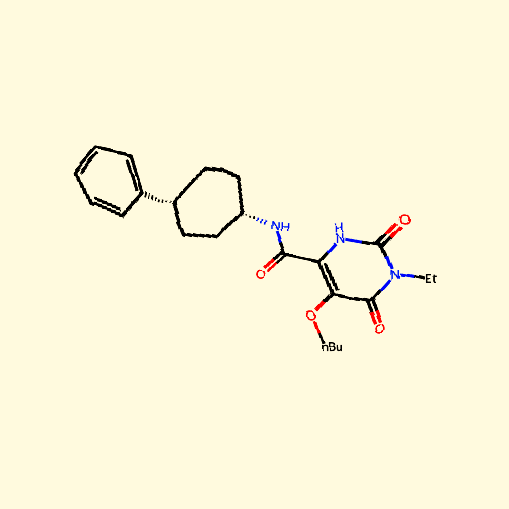 CCCCOc1c(C(=O)N[C@H]2CC[C@@H](c3ccccc3)CC2)[nH]c(=O)n(CC)c1=O